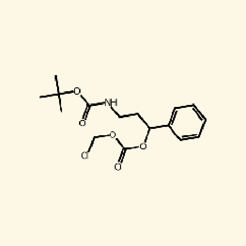 CC(C)(C)OC(=O)NCCC(OC(=O)OCCl)c1ccccc1